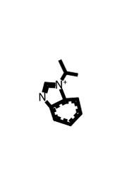 CC(C)[N+]1=C=Nc2ccccc21